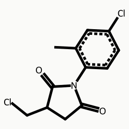 Cc1cc(Cl)ccc1N1C(=O)CC(CCl)C1=O